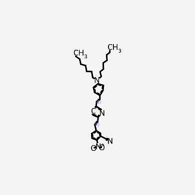 CCCCCCCCN(CCCCCCCC)c1ccc(/C=C/c2ccc(/C=C/c3ccc([N+](=O)[O-])c(C#N)c3)nc2)cc1